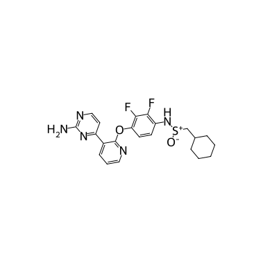 Nc1nccc(-c2cccnc2Oc2ccc(N[S+]([O-])CC3CCCCC3)c(F)c2F)n1